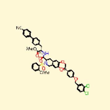 COC(=O)[C@H](Cc1ccc(-c2ccc(C#N)cc2)cc1)NC(=O)C1Cc2cc3c(cc2CN1S(=O)(=O)c1ccccc1OC)O[C@@H](c1ccc(OCc2ccc(Cl)c(Cl)c2)cc1)CO3